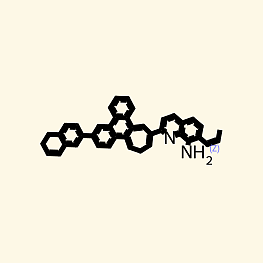 C/C=C\c1ccc2ccc(C3=CCC=c4c(c5ccccc5c5cc(-c6ccc7c(c6)C=CCC7)ccc45)=C3)nc2c1N